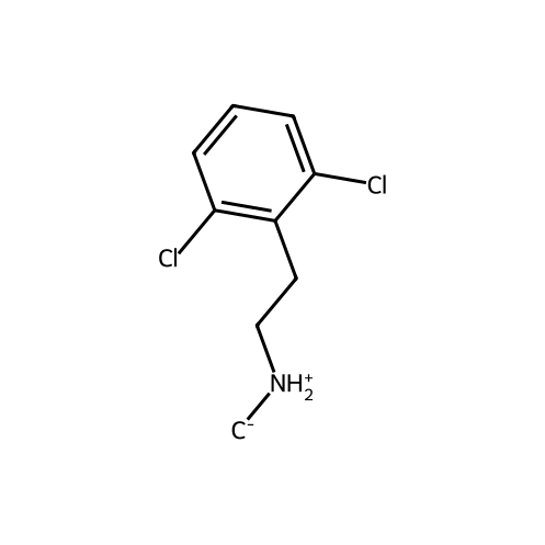 [CH2-][NH2+]CCc1c(Cl)cccc1Cl